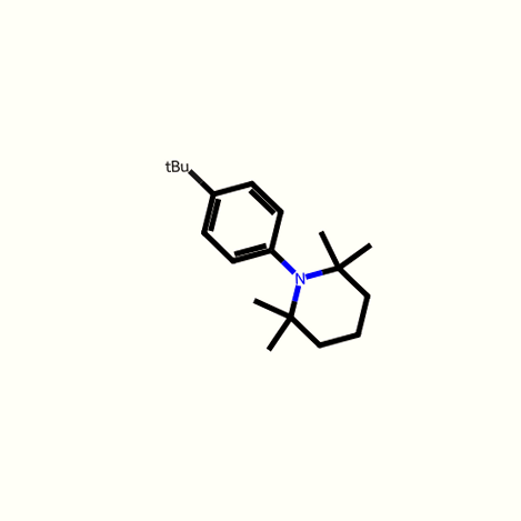 CC(C)(C)c1ccc(N2C(C)(C)CCCC2(C)C)cc1